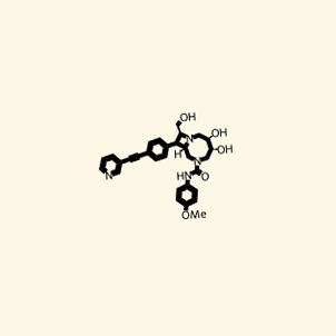 COc1ccc(NC(=O)N2C[C@@H](O)[C@@H](O)CN3[C@H](CO)C(c4ccc(C#Cc5cccnc5)cc4)[C@@H]3C2)cc1